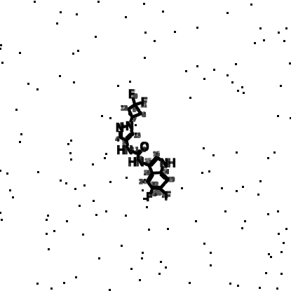 O=C(Nc1cnn(C2CC(F)(F)C2)c1)Nc1c[nH]c2cc(F)c(F)cc12